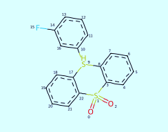 O=S1(=O)c2ccccc2[SH](c2cccc(F)c2)c2ccccc21